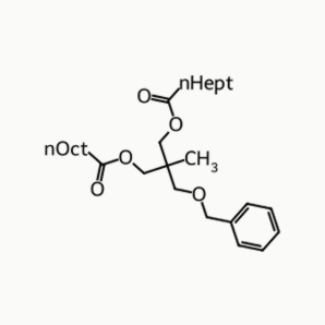 CCCCCCCCC(=O)OCC(C)(COCc1ccccc1)COC(=O)CCCCCCC